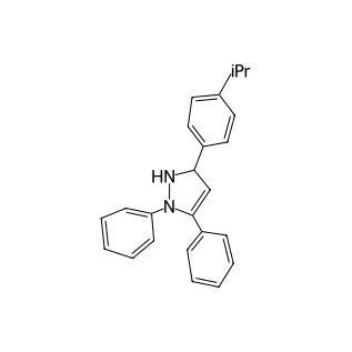 CC(C)c1ccc(C2C=C(c3ccccc3)N(c3ccccc3)N2)cc1